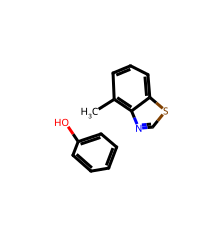 Cc1cccc2scnc12.Oc1ccccc1